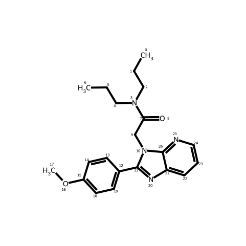 CCCN(CCC)C(=O)Cn1c(-c2ccc(OC)cc2)nc2cccnc21